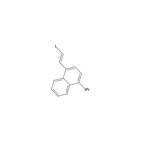 CC(C)c1ccc(/C=C/I)c2ccccc12